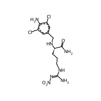 NC(=O)[C@@H](CCCNC(N)=N[N+](=O)[O-])NCc1cc(Cl)c(N)c(Cl)c1